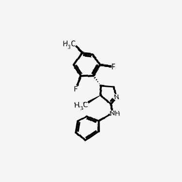 Cc1cc(F)c([C@@H]2CN=C(Nc3ccccc3)[C@H]2C)c(F)c1